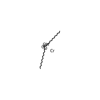 CCCCCCCCCCCCOP(=O)(O)CCCCCCCCCCCC.[Cr]